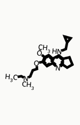 CCN(C)CCCOc1cc2nc3c(c(NCC4CC4)c2cc1OC)CCC3